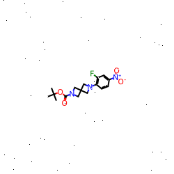 CC(C)(C)OC(=O)N1CC2(C1)CN(c1ccc([N+](=O)[O-])cc1F)C2